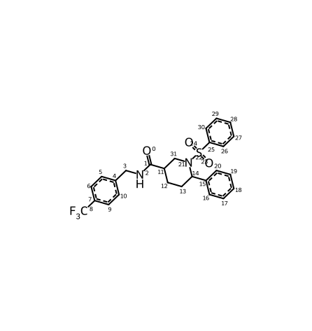 O=C(NCc1ccc(C(F)(F)F)cc1)C1CCC(c2ccccc2)N(S(=O)(=O)c2ccccc2)C1